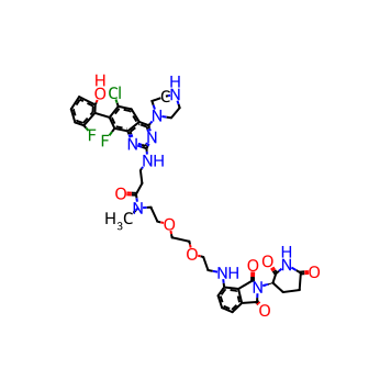 CN(CCOCCOCCNc1cccc2c1C(=O)N([C@@H]1CCC(=O)NC1=O)C2=O)C(=O)CCNc1nc(N2CCNCC2)c2cc(Cl)c(-c3c(O)cccc3F)c(F)c2n1